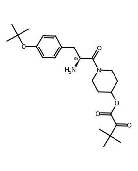 CC(C)(C)Oc1ccc(C[C@H](N)C(=O)N2CCC(OC(=O)C(=O)C(C)(C)C)CC2)cc1